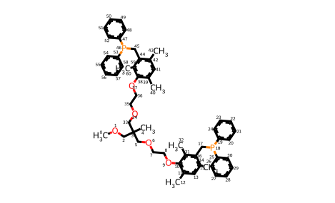 COCC(C)(COCCOc1c(C)cc(C)c(CP(c2ccccc2)c2ccccc2)c1C)COCCOc1c(C)cc(C)c(CP(c2ccccc2)c2ccccc2)c1C